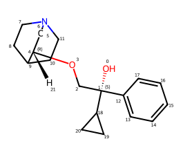 O[C@](CO[C@H]1CN2CCC1CC2)(c1ccccc1)C1CC1